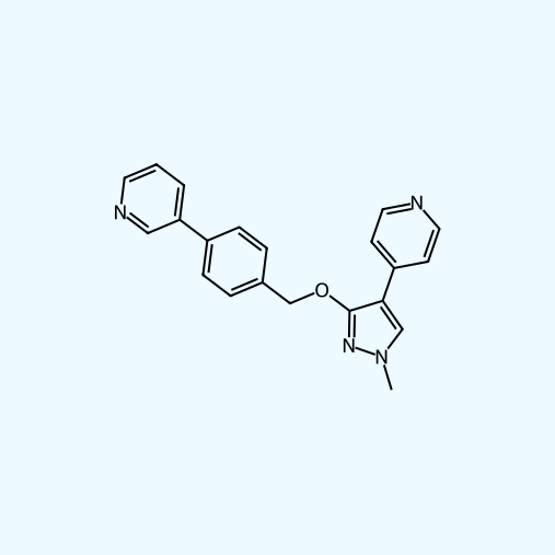 Cn1cc(-c2ccncc2)c(OCc2ccc(-c3cccnc3)cc2)n1